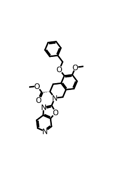 COC(=O)[C@@H]1Cc2c(ccc(OC)c2OCc2ccccc2)CN1c1nc2ccncc2o1